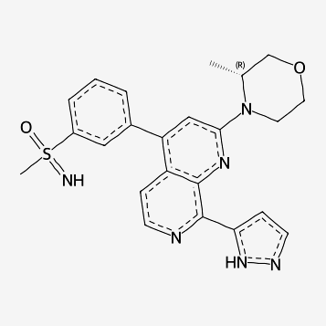 C[C@@H]1COCCN1c1cc(-c2cccc(S(C)(=N)=O)c2)c2ccnc(-c3ccn[nH]3)c2n1